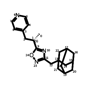 C[C@@H](Cc1ccncc1)c1nc(CC23CC4CC(CC(C4)C2)C3)no1